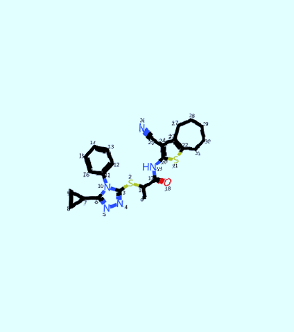 CC(Sc1nnc(C2CC2)n1-c1ccccc1)C(=O)Nc1sc2c(c1C#N)CCCCC2